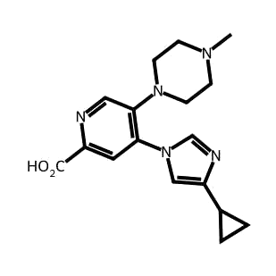 CN1CCN(c2cnc(C(=O)O)cc2-n2cnc(C3CC3)c2)CC1